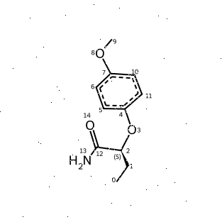 CC[C@H](Oc1ccc(OC)cc1)C(N)=O